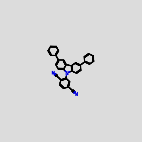 N#Cc1ccc(C#N)c(-n2c3ccc(-c4ccccc4)cc3c3cc(-c4ccccc4)ccc32)c1